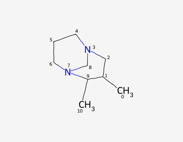 CC1CN2CCCN(C2)C1C